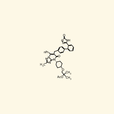 CCCc1c(Cc2ccc(-c3ccccc3-c3noc(=O)[nH]3)cc2)c(=O)n([C@H]2CC[C@H](OCC(C)(C)OC(C)=O)CC2)c2nc(C)nn12